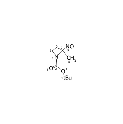 CC(C)(C)OC(=O)N1CCC1(C)N=O